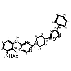 CC(=O)Nc1cccc(Nc2ncnc(N3CCC(c4nc(-c5ccccc5)no4)CC3)n2)c1C